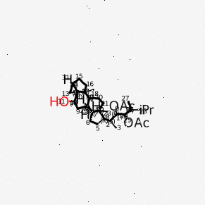 CC(=O)O[C@H]([C@@H](C)[C@H]1CC[C@H]2[C@@H]3C[C@@H](O)[C@]45C[C@@H]4CC[C@]5(C)[C@H]3CC[C@]12C)[C@H](OC(C)=O)[C@@H](C)C(C)C